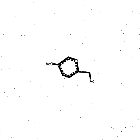 CC(=O)Cc1ccc(OC(C)=O)cn1